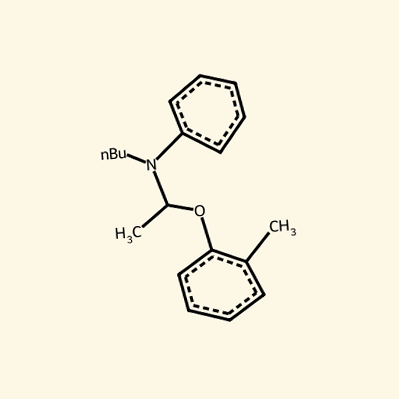 CCCCN(c1ccccc1)C(C)Oc1ccccc1C